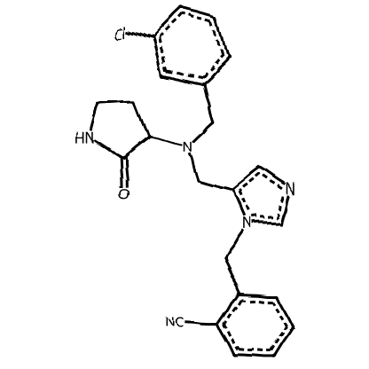 N#Cc1ccccc1Cn1cncc1CN(Cc1cccc(Cl)c1)C1CCNC1=O